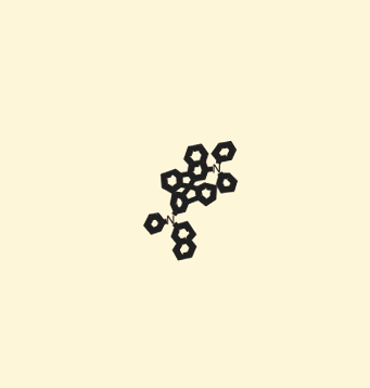 c1ccc(N(c2ccc3c(c2)-c2ccccc2C32c3ccccc3-c3c2cc(N(c2ccccc2)c2ccccc2)c2ccccc32)c2ccc3ccccc3c2)cc1